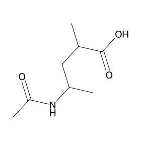 CC(=O)NC(C)CC(C)C(=O)O